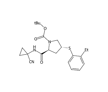 CCc1ccccc1S[C@@H]1C[C@@H](C(=O)NC2(C#N)CC2)N(C(=O)OC(C)(C)C)C1